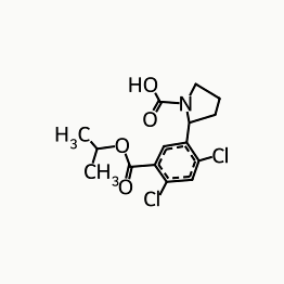 CC(C)OC(=O)c1cc(C2CCCN2C(=O)O)c(Cl)cc1Cl